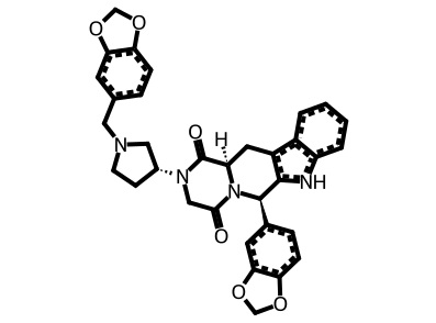 O=C1[C@H]2Cc3c([nH]c4ccccc34)[C@@H](c3ccc4c(c3)OCO4)N2C(=O)CN1[C@@H]1CCN(Cc2ccc3c(c2)OCO3)C1